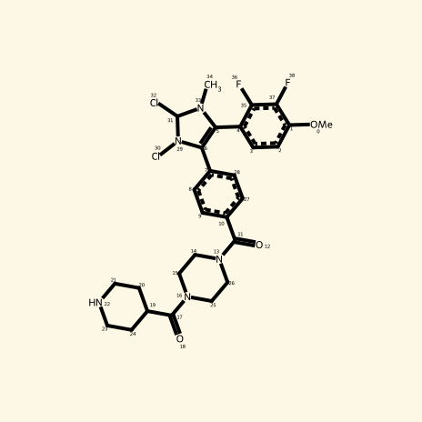 COc1ccc(C2=C(c3ccc(C(=O)N4CCN(C(=O)C5CCNCC5)CC4)cc3)N(Cl)C(Cl)N2C)c(F)c1F